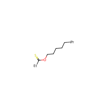 CCC(=S)OCCCCCC(C)C